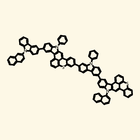 c1ccc(-n2c3ccc(-c4ccc5c(c4)c4c6cccc7c6c(cc4n5-c4cccc5ccccc45)-c4ccccc4S7)cc3c3ccc(-c4ccc5c(c4)Sc4cccc6c4c-5cc4c6c5cc(-c6ccc7c(c6)c6ccccc6n7-c6ccc7ccccc7c6)ccc5n4-c4ccccc4)cc32)cc1